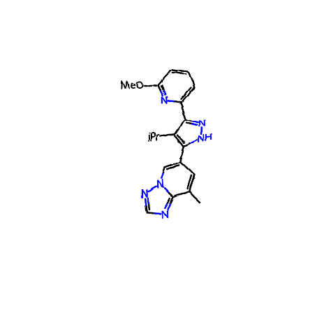 COc1cccc(-c2n[nH]c(-c3cc(C)c4ncnn4c3)c2C(C)C)n1